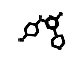 OC1CCC(Nc2cc(N3CCOCC3)cc(Br)n2)CC1